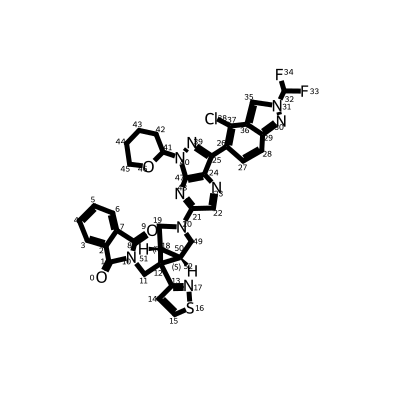 O=C1c2ccccc2C(=O)N1CC1(c2ccsn2)[C@@H]2CN(c3cnc4c(-c5ccc6nn(C(F)F)cc6c5Cl)nn(C5CCCCO5)c4n3)C[C@@H]21